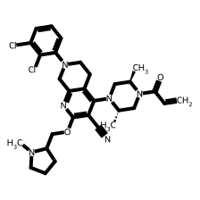 C=CC(=O)N1C[C@H](C)N(c2c(C#N)c(OCC3CCCN3C)nc3c2CCN(c2cccc(Cl)c2Cl)C3)C[C@H]1C